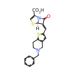 O=C(O)C1=CS[C@@H]2/C(=C\c3cc4c(s3)CCN(Cc3ccccc3)C4)C(=O)N12